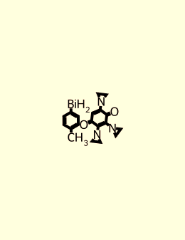 Cc1cc[c]([BiH2])cc1.O=C1C=C(N2CC2)C(=O)C(N2CC2)=C1N1CC1